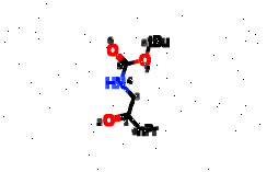 CCCC(=O)CNC(=O)OC(C)(C)C